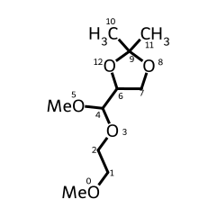 COCCOC(OC)C1COC(C)(C)O1